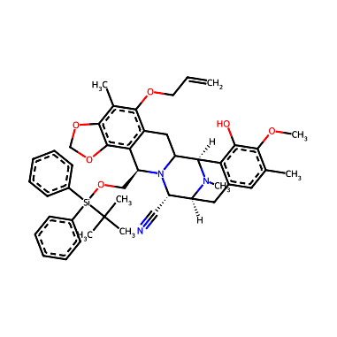 C=CCOc1c(C)c2c(c3c1CC1[C@H]4c5c(cc(C)c(OC)c5O)C[C@@H]([C@H](C#N)N1[C@H]3CO[Si](c1ccccc1)(c1ccccc1)C(C)(C)C)N4C)OCO2